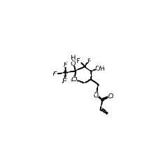 C=CC(=O)OCC1COC(O)(C(F)(F)F)C(F)(F)C1O